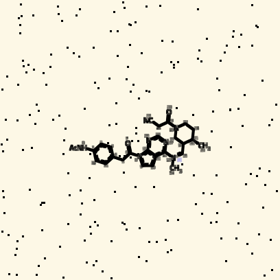 CC(=O)Nc1ccc(CC(=O)n2ccc3c(/[N+](C)=C\C4CN(C(=O)CC#N)CC[C@H]4C)ncnc32)cc1